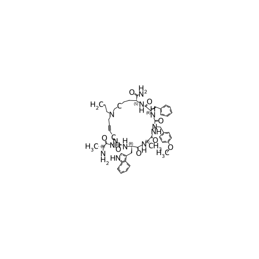 C=CCN1CC#CCN(NC(=O)[C@@H](C)N)C(=O)N[C@H](Cc2c[nH]c3ccccc23)C(=O)N[C@@H](C)C(=O)NN(Cc2ccc(OC)cc2)C(=O)N[C@H](Cc2ccccc2)C(=O)N[C@H](C(N)=O)CCCC1